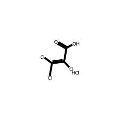 Cl.O=C(O)C(Cl)=C(Cl)Cl